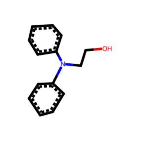 OCCN(c1ccccc1)c1ccccc1